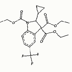 CCOC(=O)N1c2ccc(C(F)(F)F)cc2C(C(=O)OCC)(C(=O)OCC)C1C1CC1